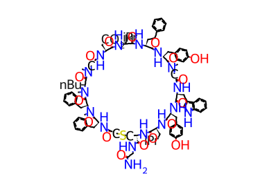 CCCC[C@H]1C(=O)N(C)CC(=O)N[C@@H](CC(=O)O)C(=O)N[C@@H](C(C)C)C(=O)N[C@@H](CCc2ccccc2)C(=O)N[C@@H](Cc2ccc(O)cc2)C(=O)N(C)CC(=O)N[C@@H](Cc2c[nH]c3ccccc23)C(=O)N[C@@H](Cc2ccc(O)cc2)C(=O)N[C@@H](CC(C)C)C(=O)N[C@H](C(=O)NCC(N)=O)CSCC(=O)N[C@@H](Cc2ccccc2)C(=O)N(C)[C@@H](Cc2ccccc2)C(=O)N1C